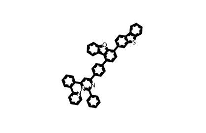 c1ccc(-c2nc(-c3ccc(-c4ccc(-c5ccc6c(c5)sc5ccccc56)c5oc6ccccc6c45)cc3)cc(-c3ccccc3-c3ccccn3)n2)cc1